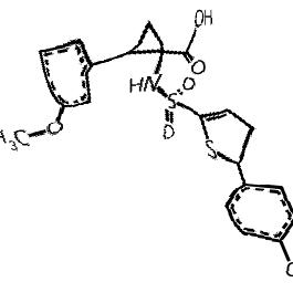 COc1cccc(C2CC2(NS(=O)(=O)C2=CCC(c3ccc(Cl)cc3)S2)C(=O)O)c1